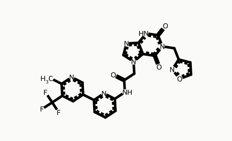 Cc1ncc(-c2cccc(NC(=O)Cn3cnc4[nH]c(=O)n(Cc5ccon5)c(=O)c43)n2)cc1C(F)(F)F